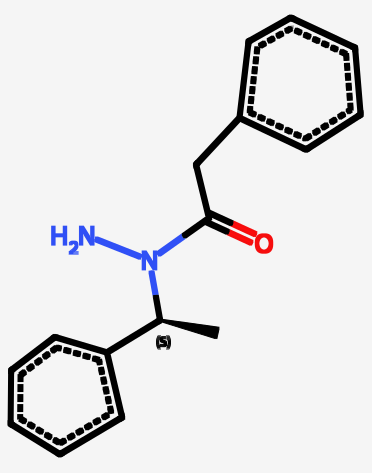 C[C@@H](c1ccccc1)N(N)C(=O)Cc1ccccc1